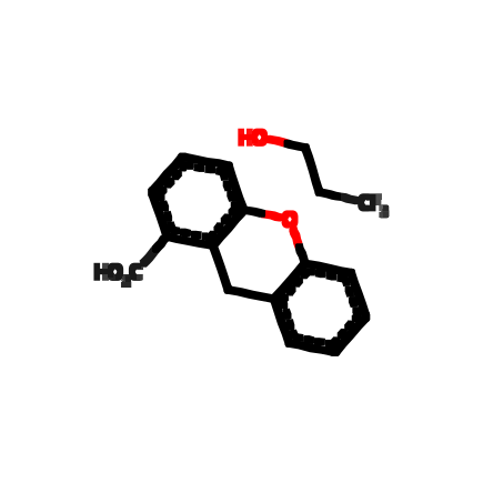 O=C(O)c1cccc2c1Cc1ccccc1O2.OCCC(F)(F)F